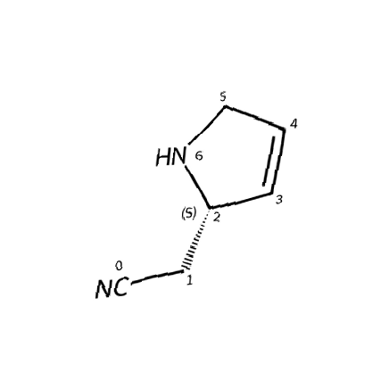 N#CC[C@H]1C=CCN1